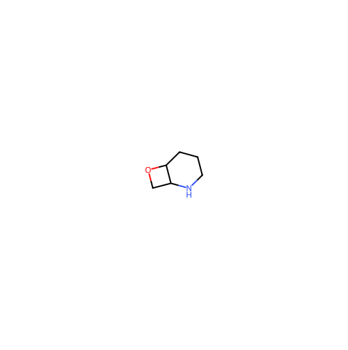 C1CNC2COC2C1